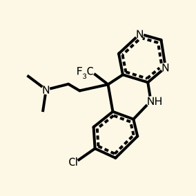 CN(C)CCC1(C(F)(F)F)c2cc(Cl)ccc2Nc2ncncc21